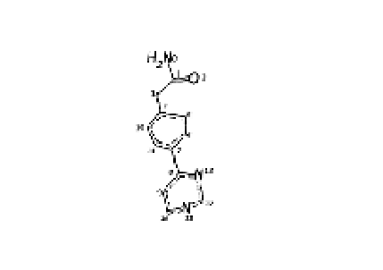 NC(=O)Cc1ccc(-c2ccncn2)cc1